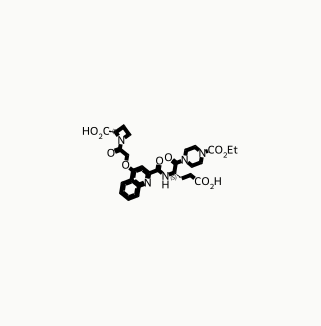 CCOC(=O)N1CCN(C(=O)[C@H](CCC(=O)O)NC(=O)c2cc(OCC(=O)N3CC[C@H]3C(=O)O)c3ccccc3n2)CC1